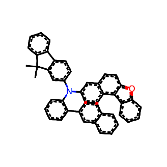 CC1(C)c2ccccc2-c2ccc(N(c3ccc4c(ccc5oc6ccccc6c54)c3)c3ccccc3-c3ccc4ccccc4c3)cc21